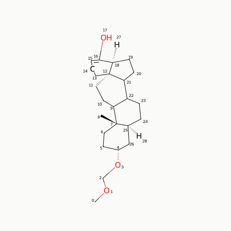 COCO[C@@H]1CC[C@]2(C)C3CC[C@]45CCC=C(O)[C@H]4CCC5C3CC[C@H]2C1